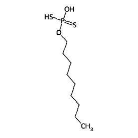 CCCCCCCCCOP(O)(=S)S